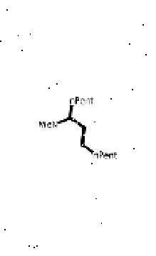 CCCCCCCC(CCCCC)NC